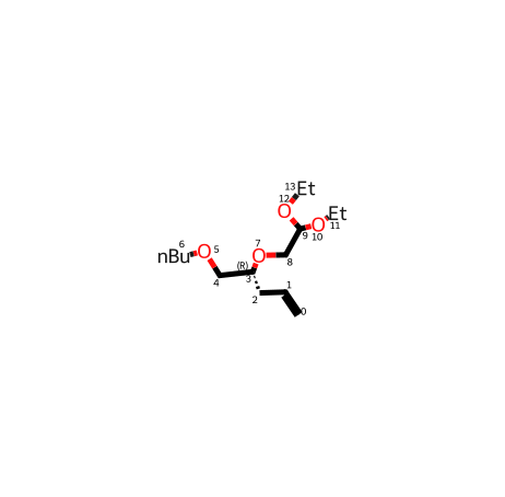 C=CC[C@H](COCCCC)OCC(OCC)OCC